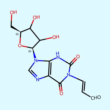 O=CC=Cn1c(=O)[nH]c2c(ncn2[C@H]2O[C@@H](CO)C(O)C2O)c1=O